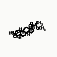 CC[C@]12CC[C@@](C)(O)C[C@H]1CC[C@H]1[C@@H]3CC[C@H](C(=O)N(C)OC)[C@@]3(C)CC[C@@H]12